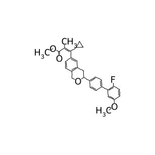 COC(=O)C(C)=C(c1ccc2c(c1)CC(c1ccc(-c3cc(OC)ccc3F)cc1)OC2)C1CC1